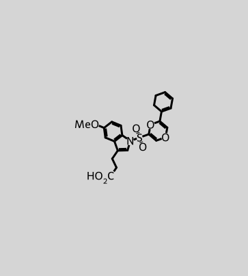 COc1ccc2c(c1)c(CCC(=O)O)cn2S(=O)(=O)C1=COC=C(C2=CC=CCC2)O1